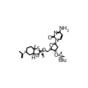 C=C(C)[C@@H]1CC[C@]2(C)S[P@@](=S)(OC[C@H]3O[C@@H](n4ccc(N)nc4=O)C[C@@H]3O[Si](C)(C)C(C)(C)C)O[C@H]2C1